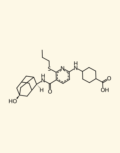 CCCSc1nc(NC2CCC(C(=O)O)CC2)ccc1C(=O)N[C@H]1C2CC3CC1C[C@@](O)(C3)C2